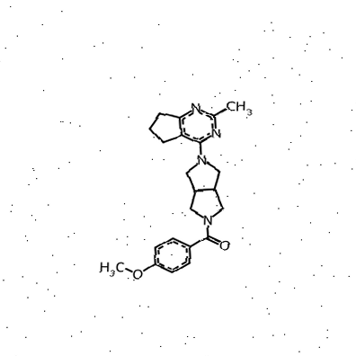 COc1ccc(C(=O)N2CC3CN(c4nc(C)nc5c4CCC5)CC3C2)cc1